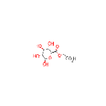 O=C(O)COC(=O)[C@H]1O[C@@H](O)[C@H](O)[C@@H](O)[C@@H]1O